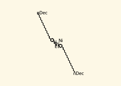 CCCCCCCCCCCCCCCCCCCCCCCCCCCC=Cc1ccc(N=CC(CC)=Nc2ccc(C=CCCCCCCCCCCCCCCCCCCCCCCCCCCC)cc2)cc1.[Ni]